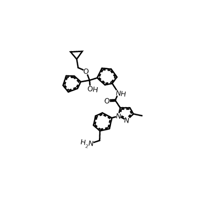 Cc1cc(C(=O)Nc2cccc(C(O)(OCC3CC3)c3ccccc3)c2)n(-c2cccc(CN)c2)n1